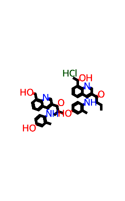 CCCC(=O)c1cnc2c(C(C)O)cccc2c1Nc1ccc(O)cc1C.Cc1cc(O)ccc1Nc1c(C(=O)C(C)C)cnc2c(CO)cccc12.Cl